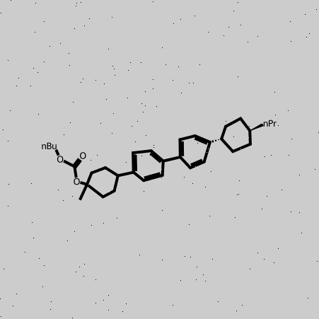 CCCCOC(=O)OC1(C)CCC(c2ccc(-c3ccc([C@H]4CC[C@H](CCC)CC4)cc3)cc2)CC1